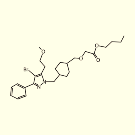 CCCCOC(=O)COCC1CCC(Cn2nc(-c3ccccc3)c(Br)c2CCOC)CC1